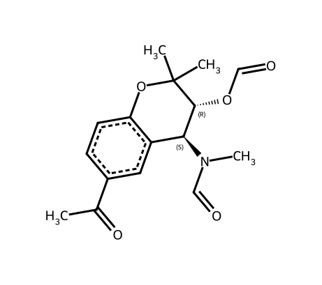 CC(=O)c1ccc2c(c1)[C@H](N(C)C=O)[C@@H](OC=O)C(C)(C)O2